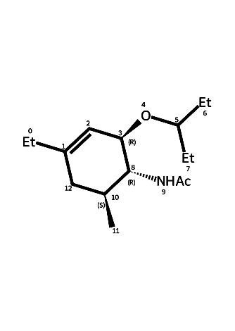 CCC1=C[C@@H](OC(CC)CC)[C@H](NC(C)=O)[C@@H](C)C1